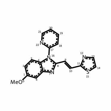 COc1ccc2c(c1)nc(C=Cc1nccs1)n2-c1ccccn1